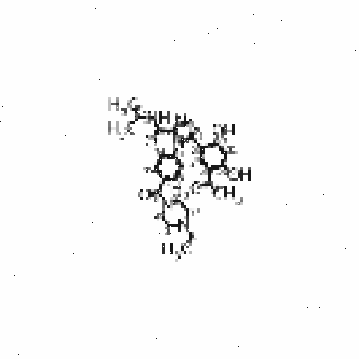 CCN1CCN(C(=O)c2ccc(-n3c(C(=O)NC(C)C)nnc3-c3cc(C(C)C)c(O)cc3O)cc2)CC1